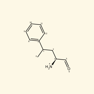 CC(C[C@H](N)C=O)c1ccccc1